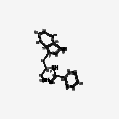 O=C(NC(CO)Cc1c[nH]c2ccccc12)c1ccccc1